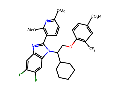 COc1ccc(-c2nc3cc(F)c(F)cc3n2C(COc2ccc(C(=O)O)cc2C(F)(F)F)C2CCCCC2)c(OC)n1